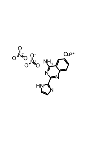 Nc1nc(-c2ncc[nH]2)nc2ccccc12.O=[N+]([O-])[O-].O=[N+]([O-])[O-].[Cu+2]